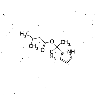 CC(C)CC(=O)OC(C)(C)c1ccc[nH]1